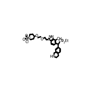 CCOC(=O)CC(c1ccc2c(c1)CNCC2)c1ccc2c(nnn2CCOCCOC2CCN(S(=O)(=O)Cl)CC2)c1C